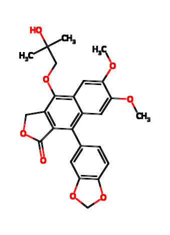 COc1cc2c(OCC(C)(C)O)c3c(c(-c4ccc5c(c4)OCO5)c2cc1OC)C(=O)OC3